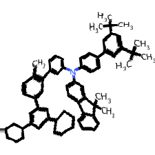 Cc1ccc(-c2cc(C3CCCCC3)cc(C3CCCCC3)c2)cc1-c1cccc(N(c2ccc(-c3cc(C(C)(C)C)cc(C(C)(C)C)c3)cc2)c2ccc3c(c2)C(C)(C)c2ccccc2-3)c1